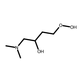 CN(C)CC(O)CCOO